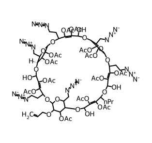 C=CCOC1C2OC(CCN=[N+]=[N-])/C(OC(C)=O)=C(\OC(C)=O)C(O)O[C@H]3C(CN=[N+]=[N-])OC(OC(CCN=[N+]=[N-])/C(OC(C)=O)=C(/OC(C)=O)C(O)OC4C(CN=[N+]=[N-])OC(OC(CCN=[N+]=[N-])/C(OC(C)=O)=C(\OC(C)=O)C(O)OC(CCC)/C(OC(C)=O)=C(\OC(C)=O)C(O)OC(C(CN=[N+]=[N-])O2)C1OC(C)=O)C(OC(C)=O)C4OC(C)=O)C(OC(C)=O)C3OC(C)=O